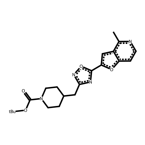 Cc1nccc2oc(-c3nc(CC4CCN(C(=O)OC(C)(C)C)CC4)no3)cc12